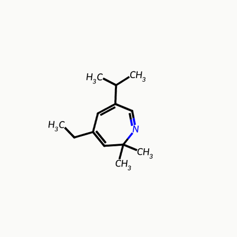 CCC1=CC(C)(C)N=CC(C(C)C)=C1